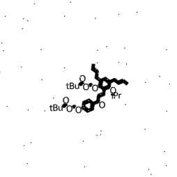 C/C=C/Cc1cc(C/C=C/C)c(OC(C)C)c(/C=C/C(=O)c2ccc(OCOC(=O)C(C)(C)C)cc2)c1OCOC(=O)C(C)(C)C